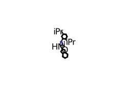 CC(C)c1ccc(C(C)C)c(/C=N/Nc2cc3ccccc3o2)c1